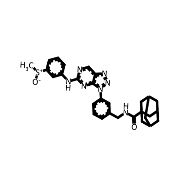 C[S+]([O-])c1cccc(Nc2ncc3nnn(-c4cccc(CNC(=O)C56CC7CC(CC(C7)C5)C6)c4)c3n2)c1